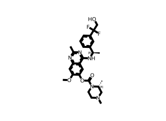 COc1cc2nc(C)nc(N[C@H](C)c3cccc(C(F)(F)CO)c3)c2cc1OC(=O)N1CCN(C)C[C@H]1C